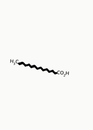 CC=CCCC=CCCCCCCCC(=O)O